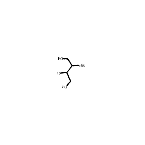 CCCCC(CO)C(CC)CO